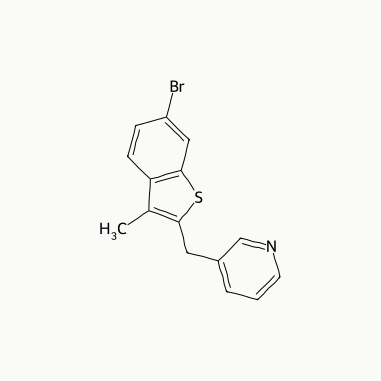 Cc1c(Cc2cccnc2)sc2cc(Br)ccc12